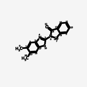 Cc1cc2nc(-n3[se]c4ccccc4c3=O)sc2cc1C